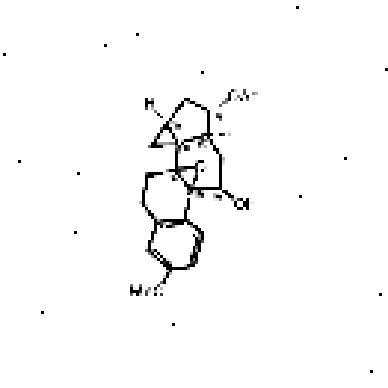 COc1ccc2c(c1)CC[C@@]13O[C@@]21[C@H](O)C[C@]1(C)[C@@H](OC(C)=O)C[C@@H]2C[C@]231